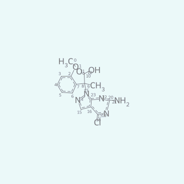 COc1ccccc1C(C)(C(=O)O)n1ncc2c(Cl)nc(N)nc21